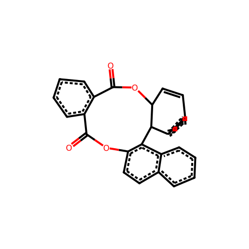 O=C1Oc2ccc3ccccc3c2C2c3ccccc3C=CC2OC(=O)c2ccccc21